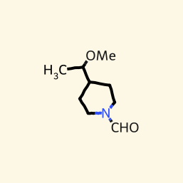 COC(C)C1CCN(C=O)CC1